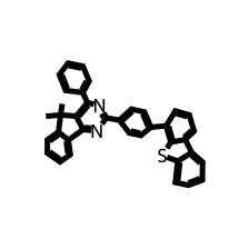 CC1(C)c2ccccc2-c2nc(-c3ccc(-c4cccc5c4sc4ccccc45)cc3)nc(-c3ccccc3)c21